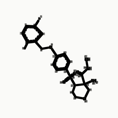 Cc1ccc(F)cc1COc1ccc(S(=O)(=O)C2CCOCC2(N)C(=O)NO)cc1